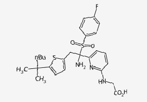 CCCCC(C)(C)c1ccc(CC(N)(c2cccc(NCC(=O)O)n2)S(=O)(=O)c2ccc(F)cc2)s1